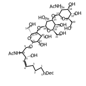 CCCCCCCCCCCCC/C=C\[C@@H](O)[C@H](CO[C@@H]1O[C@H](CO)[C@@H](O[C@@H]2O[C@H](CO)[C@H](O)[C@H](O[C@@H]3O[C@H](CO)[C@@H](O)[C@H](O)[C@H]3NC(C)=O)[C@H]2O)[C@H](O)[C@H]1O)NC(C)=O